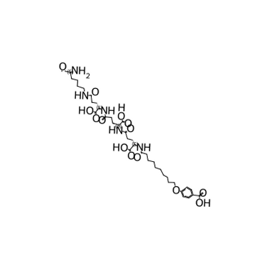 N[C@H]([C]=O)CCCCNC(=O)CC[C@H](NC(=O)CC[C@H](NC(=O)CC[C@H](NC(=O)CCCCCCCCCOc1ccc(C(=O)O)cc1)C(=O)O)C(=O)O)C(=O)O